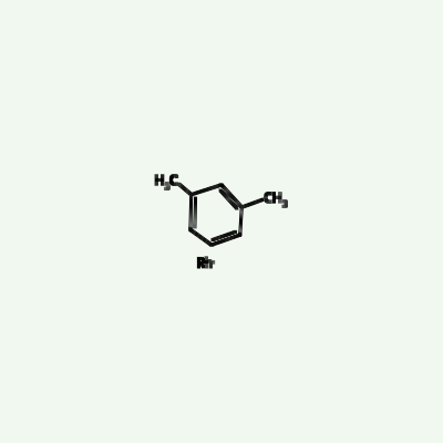 Cc1cccc(C)c1.[Rh]